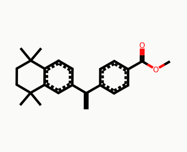 C=C(c1ccc(C(=O)OC)cc1)c1ccc2c(c1)C(C)(C)CCC2(C)C